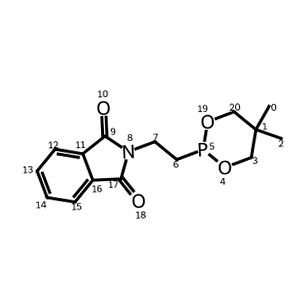 CC1(C)COP(CCN2C(=O)c3ccccc3C2=O)OC1